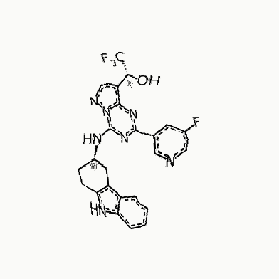 O[C@H](c1cnn2c(N[C@@H]3CCc4[nH]c5ccccc5c4C3)nc(-c3cncc(F)c3)nc12)C(F)(F)F